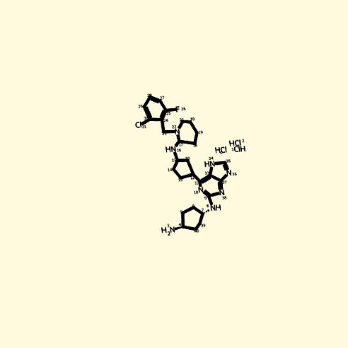 Cl.Cl.Cl.N[C@H]1CC[C@H](Nc2nc(C3CCC(NC4CCCCN4Cc4c(F)cccc4Cl)C3)c3[nH]cnc3n2)CC1